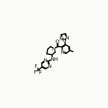 Cc1cnc(C(=O)N2CCCC(Nc3ncc(C(F)(F)F)cn3)C2)c(-n2nccn2)c1